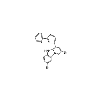 Brc1ccc2[nH]c3c(-c4cccc(-c5ccccn5)c4)cc(Br)cc3c2c1